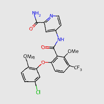 COc1ccc(Cl)cc1Oc1ccc(C(F)(F)F)c(OC)c1C(=O)Nc1ccnc(C(N)=O)c1